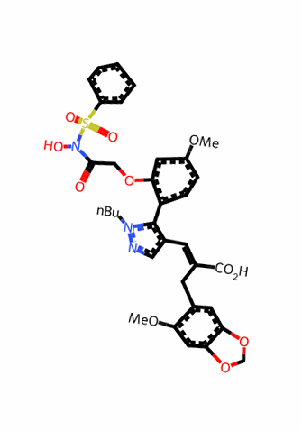 CCCCn1ncc(/C=C(\Cc2cc3c(cc2OC)OCO3)C(=O)O)c1-c1ccc(OC)cc1OCC(=O)N(O)S(=O)(=O)c1ccccc1